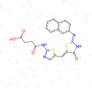 O=C(O)CCC(=O)Nc1ncc(C=C2SC(=Nc3ccc4ccccc4c3)NC2=O)s1